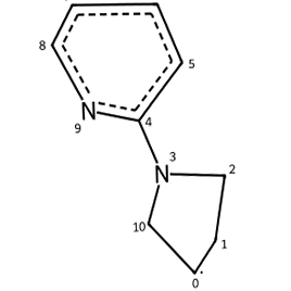 [CH]1CCN(c2ccccn2)C1